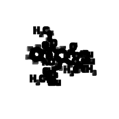 C=CCON(C1C=C(CCO[Si](C)(C)C(C)(C)C)C(CO[Si](C)(C)C(C)(C)C)N(C(=O)OC(C)(C)C)C1)S(=O)(=O)c1ccccc1[N+](=O)[O-]